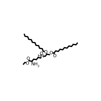 CCCCCCCCCCCC(=O)OCC(CNCCCCC(N)C(=O)OCC)OC(=O)CCCCCCCCCCC